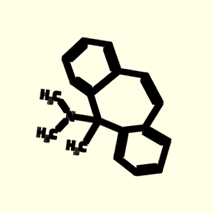 CN(C)C1(C)c2ccccc2C=Cc2ccccc21